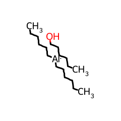 CCCCCCO.CCCCC[CH2][Al][CH2]CCCCC